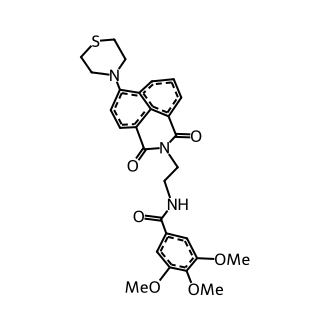 COc1cc(C(=O)NCCN2C(=O)c3cccc4c(N5CCSCC5)ccc(c34)C2=O)cc(OC)c1OC